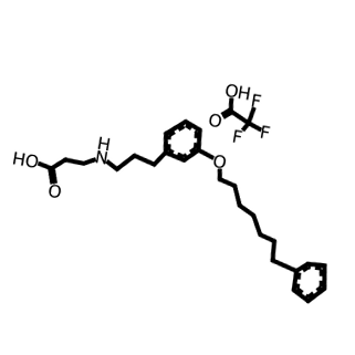 O=C(O)C(F)(F)F.O=C(O)CCNCCCc1cccc(OCCCCCCCc2ccccc2)c1